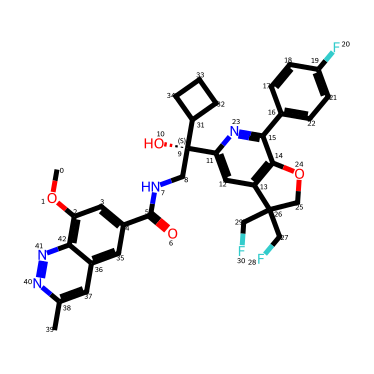 COc1cc(C(=O)NC[C@](O)(c2cc3c(c(-c4ccc(F)cc4)n2)OCC3(CF)CF)C2CCC2)cc2cc(C)nnc12